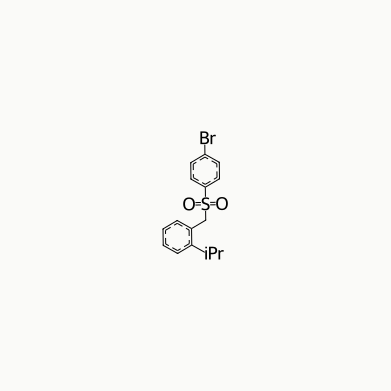 CC(C)c1ccccc1CS(=O)(=O)c1ccc(Br)cc1